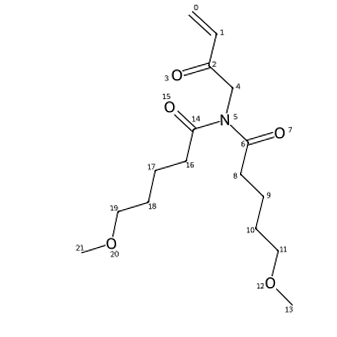 C=CC(=O)CN(C(=O)CCCCOC)C(=O)CCCCOC